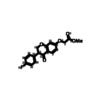 COC(=O)COc1ccc2c(c1)OCC(c1ccc(F)cc1)C2=O